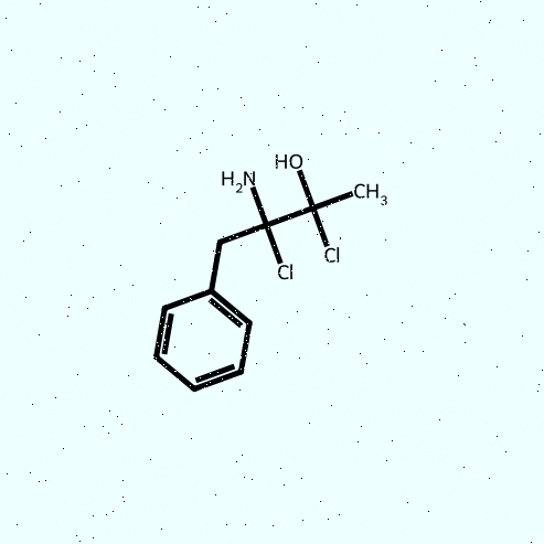 CC(O)(Cl)C(N)(Cl)Cc1ccccc1